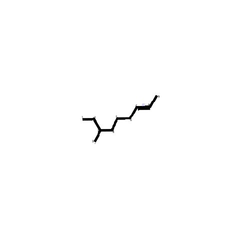 [CH2]C(CC)CCC/C=C/C